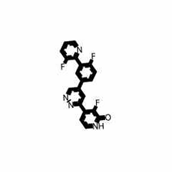 O=c1[nH]ccc(-c2cc(-c3ccc(F)c(-c4ncccc4F)c3)cnn2)c1F